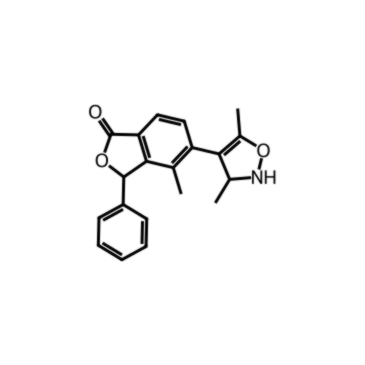 CC1=C(c2ccc3c(c2C)C(c2ccccc2)OC3=O)C(C)NO1